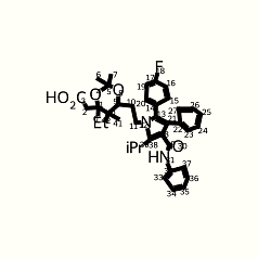 CCC1(CC(=O)O)OC(C)(C)OC(CCn2c(-c3ccc(F)cc3)c(-c3ccccc3)c(C(=O)Nc3ccccc3)c2C(C)C)C1(C)C